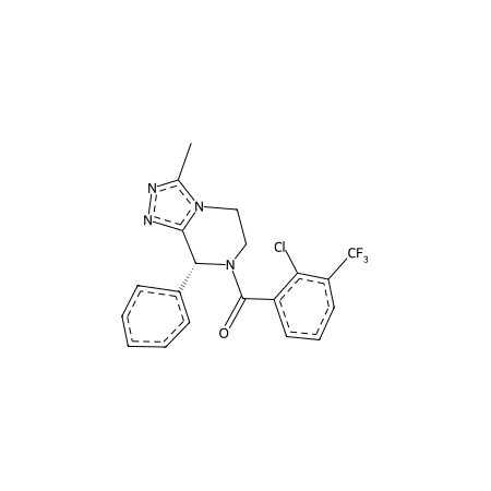 Cc1nnc2n1CCN(C(=O)c1cccc(C(F)(F)F)c1Cl)[C@@H]2c1ccccc1